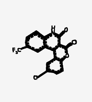 O=c1[nH]c2ccc(C(F)(F)F)cc2c2c1c(=O)oc1ccc(Cl)cc12